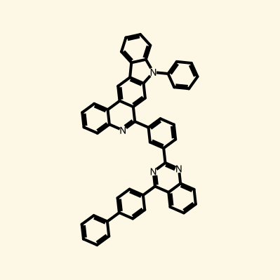 c1ccc(-c2ccc(-c3nc(-c4cccc(-c5nc6ccccc6c6cc7c8ccccc8n(-c8ccccc8)c7cc56)c4)nc4ccccc34)cc2)cc1